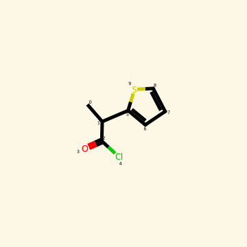 CC(C(=O)Cl)c1cccs1